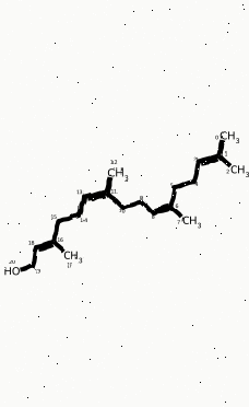 CC(C)=CCCC(C)=CCCC(C)=CCC/C(C)=C/CO